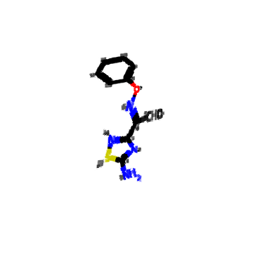 Nc1nc(/C([C]=O)=N/Oc2ccccc2)ns1